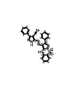 N#Cc1c(-c2ccccc2)n[nH]c1/N=N/c1c(-c2ccccc2)nn2c1Nc1ccccc1S2(=O)=O